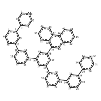 c1cc(-c2ccncc2)cc(-c2cccc(-c3cc(-c4cccc(-c5cccc(-c6ccncc6)c5)c4)cc(-c4cc5ccccc5c5ccccc45)c3)c2)c1